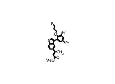 COC(=O)/C=C(\C)c1ccc2scc(-c3cc(C(C)C)cc(C(C)C)c3OCCCF)c2c1